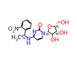 C[C@H](Nc1ccn([C@@H]2O[C@H](CO)[C@H](O)C2O)c(=O)n1)c1ccccc1[N+](=O)[O-]